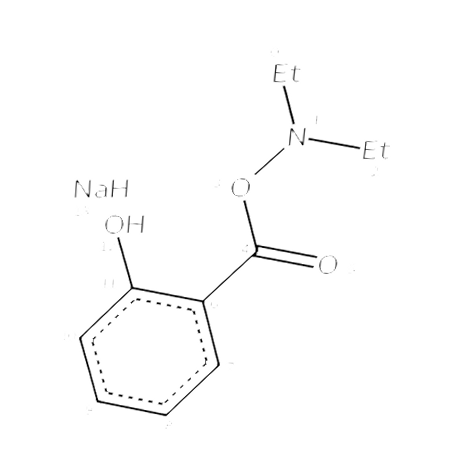 CCN(CC)OC(=O)c1ccccc1O.[NaH]